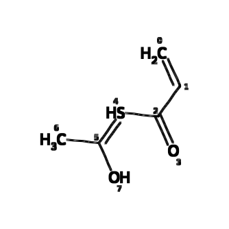 C=CC(=O)[SH]=C(C)O